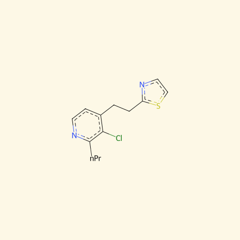 CCCc1nccc(CCc2nccs2)c1Cl